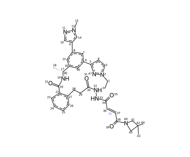 CCn1ccc(-c2cc(-c3cnn(C)c3)cc([C@@H](C)NC(=O)c3ccccc3CCC(=O)NNC(=O)/C=C/C(=O)N3CC(C)(C)C3)c2)n1